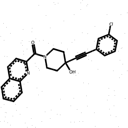 O=C(c1ccc2ccccc2n1)N1CCC(O)(C#Cc2cccc(Cl)c2)CC1